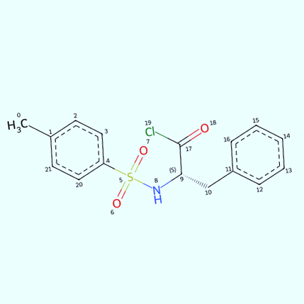 Cc1ccc(S(=O)(=O)N[C@@H](Cc2ccccc2)C(=O)Cl)cc1